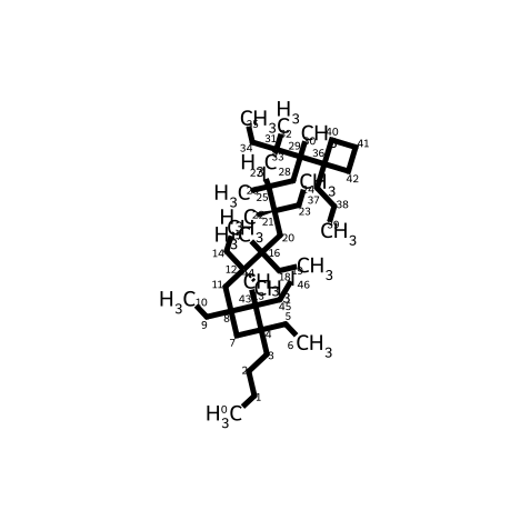 CCCCC1(CC)CC(CC)(C[C@@](C)(CC)C(C)(CC)C[C@@](C)(CC)C(C)(I)CC(C)(C(C)(C)CC)C2(CCC)CCC2)C1(C)CI